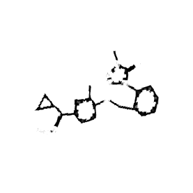 CON=C(c1ccc(OCc2ccccc2-n2nnn(C)c2=O)c(C)c1)C1CC1